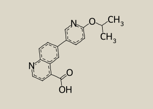 CC(C)Oc1ccc(-c2ccc3nccc(C(=O)O)c3c2)cn1